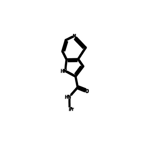 CC(C)NC(=O)c1cc2cnccc2[nH]1